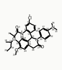 CCC(=O)Nc1cc(Cl)ccc1C1c2cc(OC(C)CC)c(OC)cc2CC(=O)N1c1ccc(N(C)C)cc1